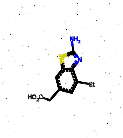 CCc1cc(CC(=O)O)cc2sc(N)nc12